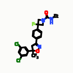 CCNC(=O)N1CC(F)(c2ccc(C3=NOC(c4cc(Cl)cc(Cl)c4)(C(F)(F)F)C3)cc2)C1